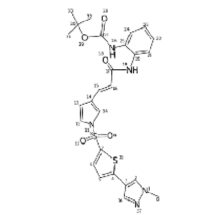 Cn1cc(-c2ccc(S(=O)(=O)n3ccc(C=CC(=O)Nc4ccccc4NC(=O)OC(C)(C)C)c3)s2)cn1